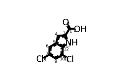 O=C(O)c1cc2cc(Cl)cc(Cl)c2[nH]1